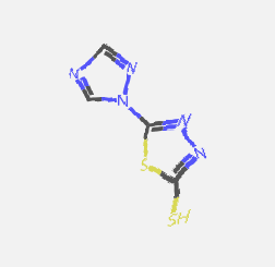 Sc1nnc(-n2cncn2)s1